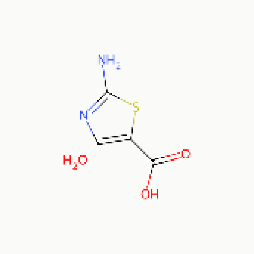 Nc1ncc(C(=O)O)s1.O